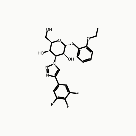 CCOc1ccccc1S[C@H]1O[C@H](CO)[C@H](O)[C@H](n2cc(-c3cc(F)c(F)c(F)c3)nn2)[C@H]1O